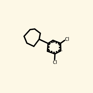 Clc1[c]c(Cl)cc(C2CCCCCC2)c1